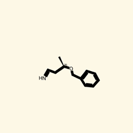 C[C@H](CC=N)OCc1ccccc1